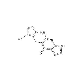 Nc1nc2[nH]cnc2c(=O)n1Cc1sccc1Br